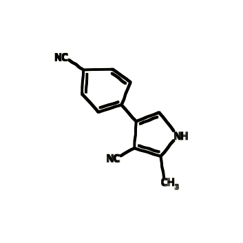 Cc1[nH]cc(-c2ccc(C#N)cc2)c1C#N